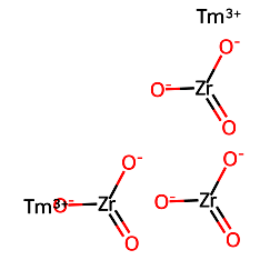 [O]=[Zr]([O-])[O-].[O]=[Zr]([O-])[O-].[O]=[Zr]([O-])[O-].[Tm+3].[Tm+3]